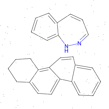 C1=Cc2ccccc2NN=C1.c1ccc2c(c1)ccc1c3c(ccc12)CCCC3